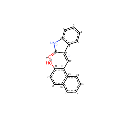 O=C1Nc2ccccc2/C1=C/c1c(O)ccc2ccccc12